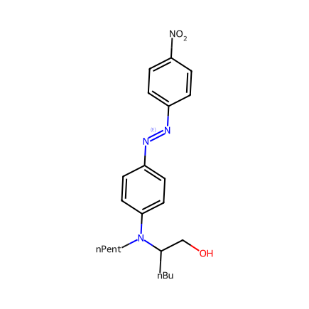 CCCCCN(c1ccc(/N=N/c2ccc([N+](=O)[O-])cc2)cc1)C(CO)CCCC